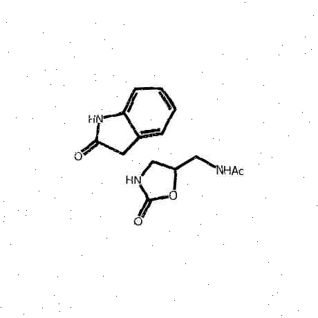 CC(=O)NCC1CNC(=O)O1.O=C1Cc2ccccc2N1